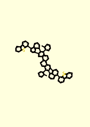 Cc1ccccc1-c1c2c(cc3c1ccc1c4cc5c(c(-c6ccccc6C)c4ccc31)-c1cccc3c(-c4cccc6c4sc4ccccc46)ccc-5c13)-c1ccc(-c3cccc4c3sc3ccccc34)c3cccc-2c13